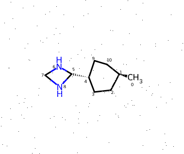 C[C@H]1CC[C@H](C2NCN2)CC1